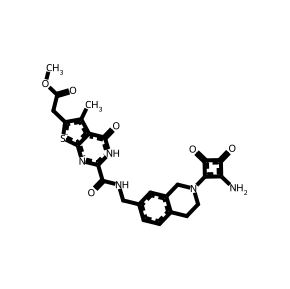 COC(=O)Cc1sc2nc(C(=O)NCc3ccc4c(c3)CN(c3c(N)c(=O)c3=O)CC4)[nH]c(=O)c2c1C